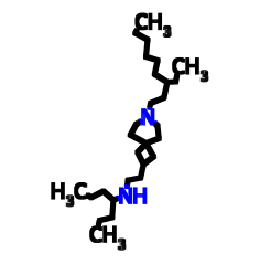 CCCCCCC(CC)CCN1CCC2(CC1)CC(CCNC(CCC)CCC)C2